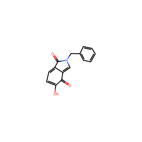 O=C1C(O)=CC=C2C(=O)N(Cc3ccccc3)C=C12